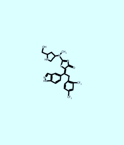 CN(C1=NC(=O)C(=C(Cc2ccc(C(F)(F)F)cc2C(F)(F)F)c2ccc3[nH]ncc3c2)S1)C1CNC(CO)C1